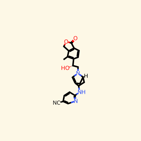 Cc1c([C@@H](O)CN2C=C3C[C@@H]2CC3Nc2ccc(C#N)cn2)ccc2c1COC2=O